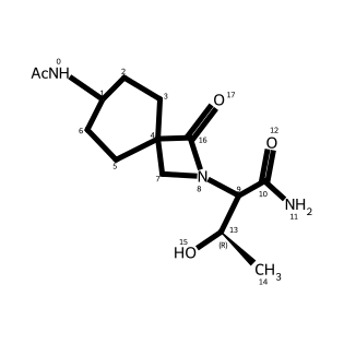 CC(=O)NC1CCC2(CC1)CN(C(C(N)=O)[C@@H](C)O)C2=O